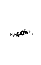 COC(=O)C1CCC(c2nnc(N)s2)CC1